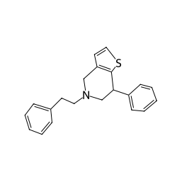 c1ccc(CCN2Cc3ccsc3C(c3ccccc3)C2)cc1